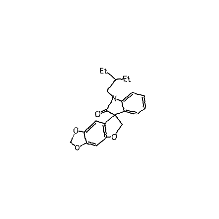 CCC(CC)CN1C(=O)C2(COc3cc4c(cc32)OCO4)c2ccccc21